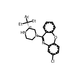 CCC(CC)(C(C)=O)[C@@H]1CN(C2=Nc3cc(Cl)ccc3Oc3ccccc32)CCN1